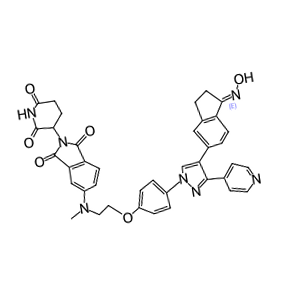 CN(CCOc1ccc(-n2cc(-c3ccc4c(c3)CC/C4=N\O)c(-c3ccncc3)n2)cc1)c1ccc2c(c1)C(=O)N(C1CCC(=O)NC1=O)C2=O